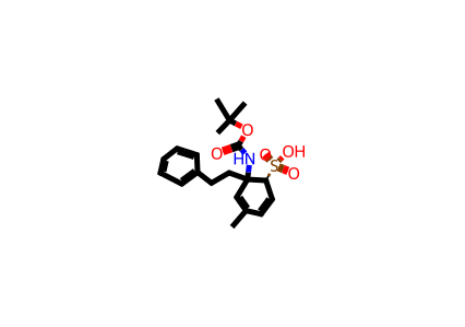 CC1=CC(CCc2ccccc2)(NC(=O)OC(C)(C)C)[C@H](S(=O)(=O)O)C=C1